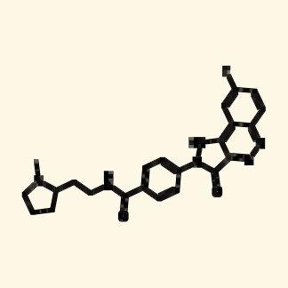 CN1CCCC1CCNC(=O)c1ccc(-n2[nH]c3c(nnc4ccc(F)cc43)c2=O)cc1